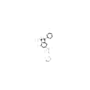 O=C(NC[C@@H]1CCCO1)c1cc(F)c2[nH]nc(-c3cccc(F)c3)c2c1